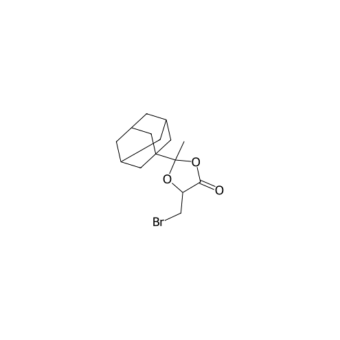 CC1(C23CC4CC(CC(C4)C2)C3)OC(=O)C(CBr)O1